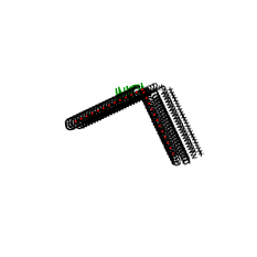 Cl.Cl.Cl.[Ca+2].[Ca+2].[Ca+2].[Ca+2].[Ca+2].[Ca+2].[Ca+2].[Ca+2].[Ca+2].[Ca+2].[Ca+2].[Ca+2].[Ca+2].[Ca+2].[Ca+2].[Ca+2].[Ca+2].[Ca+2].[Ca+2].[Ca+2].[Ca+2].[Ca+2].[Ca+2].[Ca+2].[Ca+2].[Ca+2].[Ca+2].[Ca+2].[Ca+2].[Ca+2].[Ca+2].[Ca+2].[Ca+2].[Ca+2].[Ca+2].[Ca+2].[Ca+2].[Ca+2].[Ca+2].[Ca+2].[Ca+2].[Ca+2].[Ca+2].[Ca+2].[Ca+2].[Ca+2].[Ca+2].[Ca+2].[Ca+2]